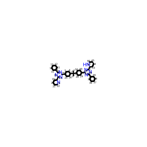 CC(C)(c1ccc(-c2nc(-c3ccccc3)nc(-c3ccccn3)n2)cc1)c1ccc(-c2nc(-c3ccccc3)nc(C3C=CC=CN3)n2)cc1